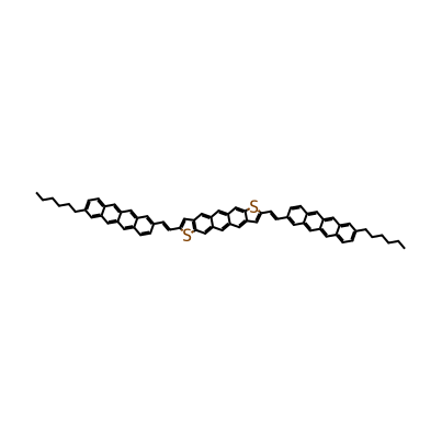 CCCCCCc1ccc2cc3cc4cc(/C=C/c5cc6cc7cc8cc9sc(/C=C/c%10ccc%11cc%12cc%13cc(CCCCCC)ccc%13cc%12cc%11c%10)cc9cc8cc7cc6s5)ccc4cc3cc2c1